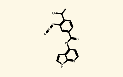 CC(N)c1ccc(C(=O)Nc2ccnc3[nH]ccc23)cc1N=[N+]=[N-]